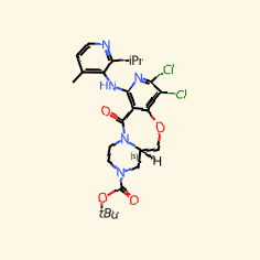 Cc1ccnc(C(C)C)c1Nc1nc(Cl)c(Cl)c2c1C(=O)N1CCN(C(=O)OC(C)(C)C)C[C@H]1CO2